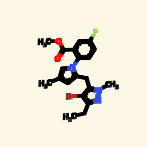 CCc1nn(C)c(Cc2cc(C)cn2-c2ccc(F)cc2C(=O)OC)c1Br